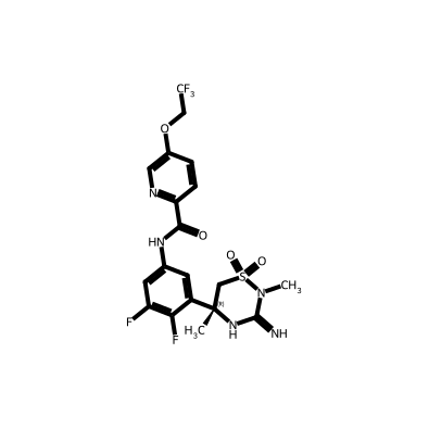 CN1C(=N)N[C@](C)(c2cc(NC(=O)c3ccc(OCC(F)(F)F)cn3)cc(F)c2F)CS1(=O)=O